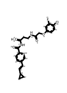 C=C(CCNC(=O)COc1ccc(Cl)c(F)c1)NC(=O)c1ccc(/C=C/C2CC2)cn1